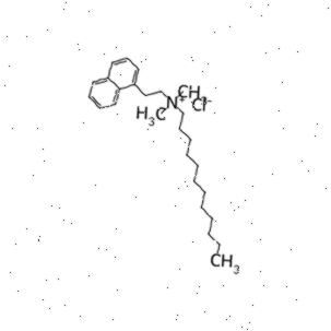 CCCCCCCCCCCC[N+](C)(C)CCc1cccc2ccccc12.[Cl-]